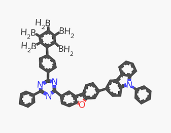 Bc1c(B)c(B)c(-c2ccc(-c3nc(-c4ccccc4)nc(-c4ccc5oc6cc(-c7ccc8c(c7)c7ccccc7n8-c7ccccc7)ccc6c5c4)n3)cc2)c(B)c1B